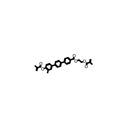 C=C(C)C(=O)OCCOC(=O)c1ccc(-c2ccc(-c3ccc(OC(=O)C(=C)C)c(C)c3)cc2)cc1